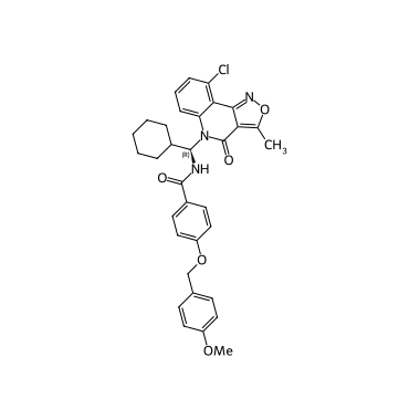 COc1ccc(COc2ccc(C(=O)N[C@@H](C3CCCCC3)n3c(=O)c4c(C)onc4c4c(Cl)cccc43)cc2)cc1